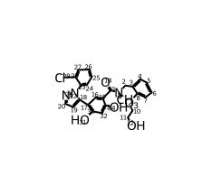 CN(Cc1ccccc1OCCO)C(=O)c1cc(-c2ccnn2-c2ccccc2Cl)c(O)cc1O